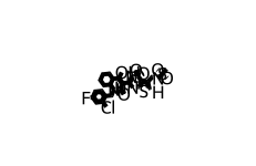 CS(=O)(=O)NCc1csc2c1S(=O)(=O)N=C(C1=C(O)C3CCCCC3N(Cc3ccc(F)cc3Cl)C1=O)N2